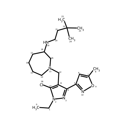 CCn1nc(-c2cc(C)on2)c(CN2CCCCC(NCCC(C)(C)C)C2)c1Cl